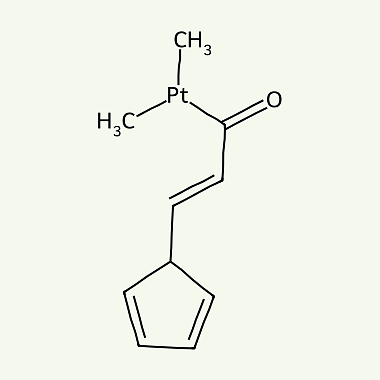 [CH3][Pt]([CH3])[C](=O)C=CC1C=CC=C1